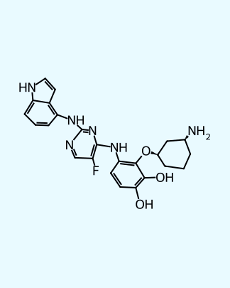 N[C@H]1CCC[C@@H](Oc2c(Nc3nc(Nc4cccc5[nH]ccc45)ncc3F)ccc(O)c2O)C1